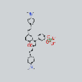 CN(C)c1ccc(C=Cc2ccc3[o+]c(C=Cc4ccc(N(C)C)cc4)cc(-c4ccccc4)c3c2)cc1.[O-][Cl+3]([O-])([O-])[O-]